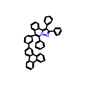 c1ccc(-c2nn3c(-c4ccccc4)c(-c4cccc(-c5ccc6c7ccccc7c7ccccc7c6c5)c4)c4ccccc4c3c2-c2ccccc2)cc1